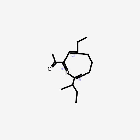 CC/C1=C/C(C(C)=O)=N\C(C(C)CC)=C/CCC1